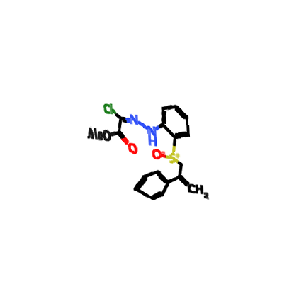 C=C(C[S+]([O-])c1ccccc1N/N=C(/Cl)C(=O)OC)c1ccccc1